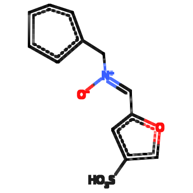 O=S(=O)(O)c1coc(C=[N+]([O-])Cc2ccccc2)c1